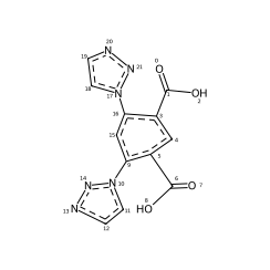 O=C(O)c1cc(C(=O)O)c(-n2ccnn2)cc1-n1ccnn1